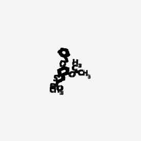 COC(=O)c1cc2c(OC(C)C)cc(OCc3ccccc3)cc2s1